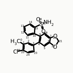 Cc1cc(-c2cc3c(cc2-c2ccccc2S(N)(=O)=O)OCO3)ccc1Cl